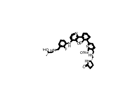 COc1nc(-c2cccc(-c3nccc(Nc4cccc(CNC[C@H](C)O)c4F)c3Cl)c2Cl)ccc1CNC[C@@H]1CCC(=O)N1